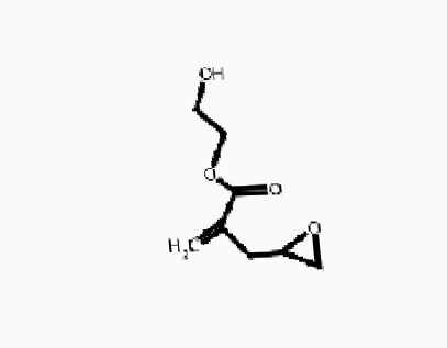 C=C(CC1CO1)C(=O)OCCO